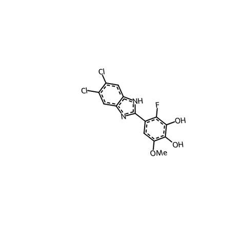 COc1cc(-c2nc3cc(Cl)c(Cl)cc3[nH]2)c(F)c(O)c1O